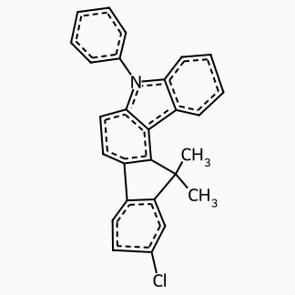 CC1(C)c2cc(Cl)ccc2-c2ccc3c(c21)c1ccccc1n3-c1ccccc1